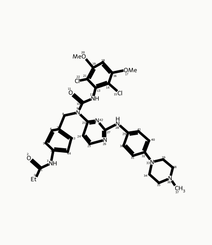 CCC(=O)Nc1ccc(CN(C(=O)Nc2c(Cl)c(OC)cc(OC)c2Cl)c2ccnc(Nc3ccc(N4CCN(C)CC4)cc3)n2)cc1